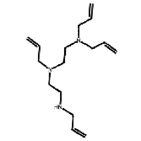 C=CCNCCN(CC=C)CCN(CC=C)CC=C